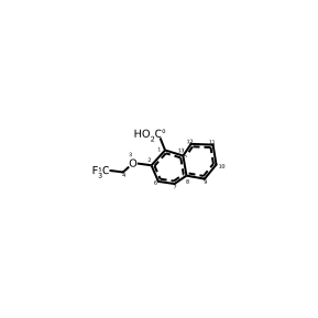 O=C(O)c1c(OCC(F)(F)F)ccc2ccccc12